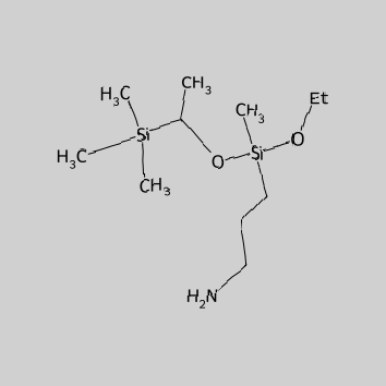 CCO[Si](C)(CCCN)OC(C)[Si](C)(C)C